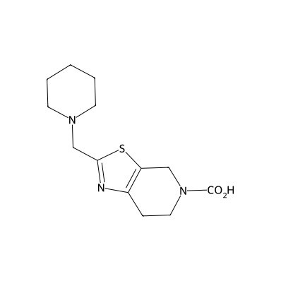 O=C(O)N1CCc2nc(CN3CCCCC3)sc2C1